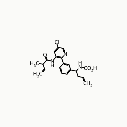 C=CCC(NC(=O)O)c1cccc(-c2ncc(Cl)cc2NC(=O)C(C)C=C)c1